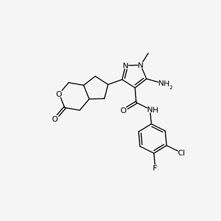 Cn1nc(C2CC3COC(=O)CC3C2)c(C(=O)Nc2ccc(F)c(Cl)c2)c1N